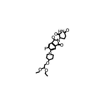 CCOC(COC1CCN(c2cc3c(cc2F)C(=O)N(C2CCC(=O)NC2=O)C3=O)CC1)OCC